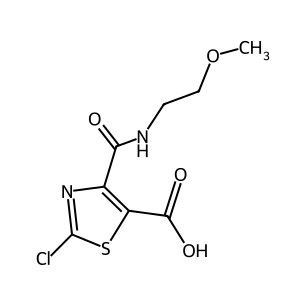 COCCNC(=O)c1nc(Cl)sc1C(=O)O